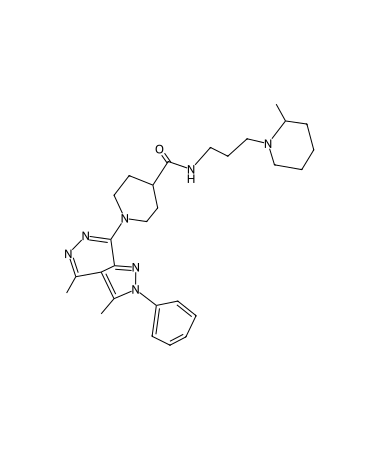 Cc1nnc(N2CCC(C(=O)NCCCN3CCCCC3C)CC2)c2nn(-c3ccccc3)c(C)c12